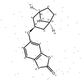 O=c1oc2cc(O[C@H]3C[C@H]4CC[C@@H](C3)N4)ccc2s1